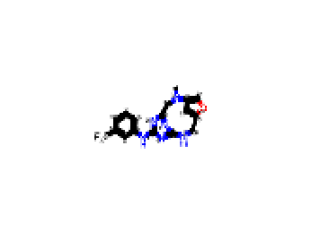 CN1Cc2nc(nc(Nc3cccc(C(F)(F)F)c3)n2)NCc2cc1co2